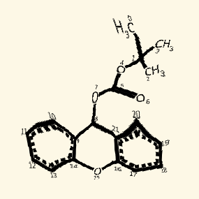 CC(C)(C)OC(=O)OC1c2ccccc2Oc2ccccc21